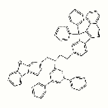 c1ccc(-c2cc(-c3ccccc3)cc(C(CCc3ccc4c(c3)C(c3ccccc3)(c3ccccc3)c3c-4ccc4ccccc34)Cc3ccc4c(c3)oc3ccccc34)c2)cc1